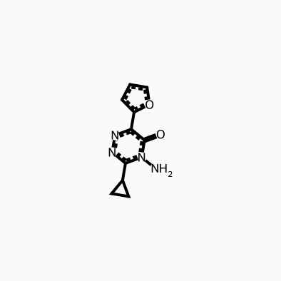 Nn1c(C2CC2)nnc(-c2ccco2)c1=O